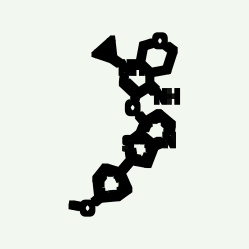 COc1ccc(-c2cc3nccc(O/C(=C/NC4CC4)C(=N)C4CCOCC4)c3s2)cc1